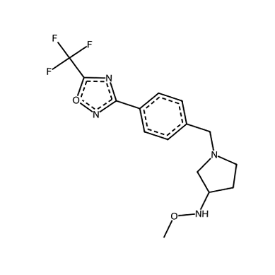 CONC1CCN(Cc2ccc(-c3noc(C(F)(F)F)n3)cc2)C1